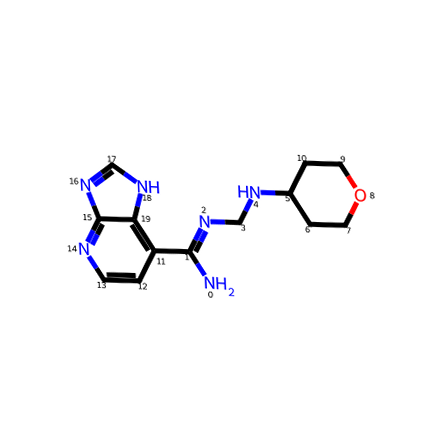 NC(=NCNC1CCOCC1)c1ccnc2nc[nH]c12